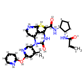 C=CC(=O)N[C@H]1CCC[C@H]1NC(=O)c1sc2nccc3c2c1NC(=O)N3c1cnc(Oc2ccccn2)cc1C